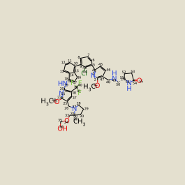 COc1nc(-c2cccc(-c3cccc4c3CC[C@@H]4Nc3nc(OC)c(CN4CCC[C@@]4(C)COCO)cc3C(F)(F)F)c2Cl)ccc1CNC[C@@H]1CCC(=O)N1